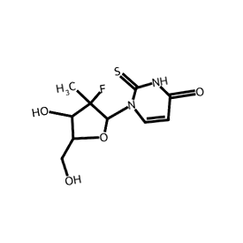 CC1(F)C(O)C(CO)OC1n1ccc(=O)[nH]c1=S